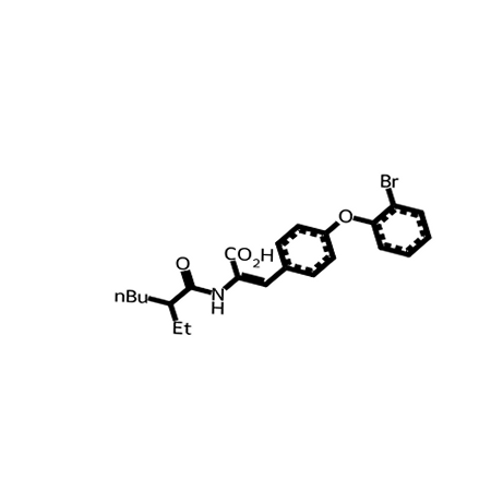 CCCCC(CC)C(=O)N/C(=C/c1ccc(Oc2ccccc2Br)cc1)C(=O)O